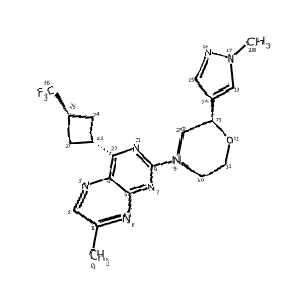 Cc1cnc2c(n1)nc(N1CCO[C@H](c3cnn(C)c3)C1)nc2[C@H]1C[C@H](C(F)(F)F)C1